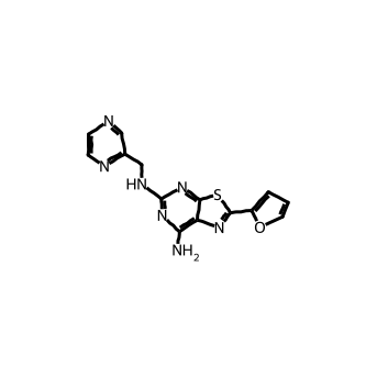 Nc1nc(NCc2cnccn2)nc2sc(-c3ccco3)nc12